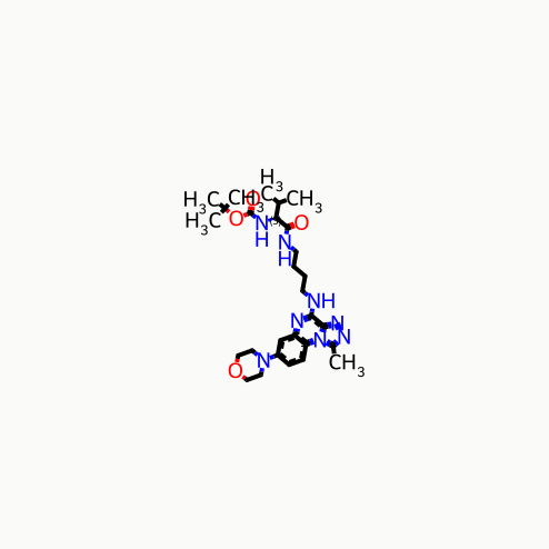 Cc1nnc2c(NCCCCNC(=O)[C@@H](NC(=O)OC(C)(C)C)C(C)C)nc3cc(N4CCOCC4)ccc3n12